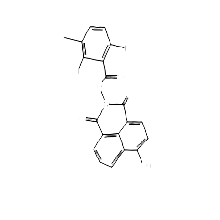 CCCc1ccc2c3c(cccc13)C(=O)N(OC(=O)c1c(I)ccc(I)c1I)C2=O